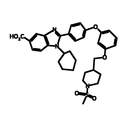 CS(=O)(=O)N1CCC(COc2cccc(Oc3ccc(-c4nc5cc(C(=O)O)ccc5n4C4CCCCC4)cc3)c2)CC1